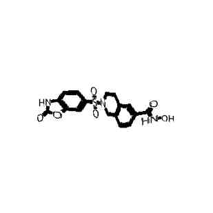 O=C(NO)c1ccc2c(c1)CCN(S(=O)(=O)c1ccc3[nH]c(=O)oc3c1)C2